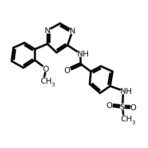 COc1ccccc1-c1cc(NC(=O)c2ccc(NS(C)(=O)=O)cc2)ncn1